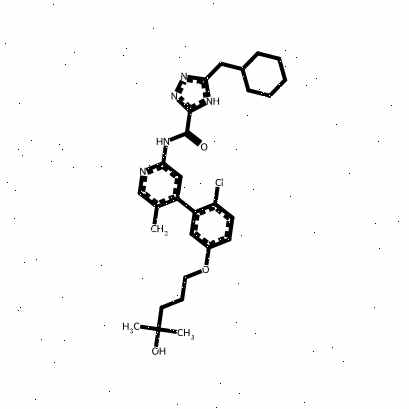 Cc1cnc(NC(=O)c2nnc(CC3CCCCC3)[nH]2)cc1-c1cc(OCCCC(C)(C)O)ccc1Cl